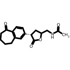 CC(=O)NCC1C[C@@H](c2ccc3c(c2)CCCCC3=O)C(=O)O1